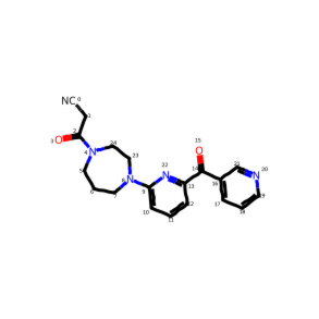 N#CCC(=O)N1CCCN(c2cccc(C(=O)c3cccnc3)n2)CC1